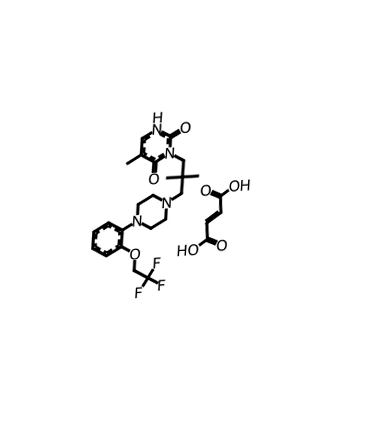 Cc1c[nH]c(=O)n(CC(C)(C)CN2CCN(c3ccccc3OCC(F)(F)F)CC2)c1=O.O=C(O)/C=C/C(=O)O